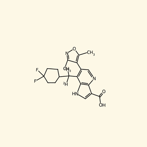 [2H]C([2H])(c1c(-c2c(C)noc2C)cnc2c(C(=O)O)c[nH]c12)C1CCC(F)(F)CC1